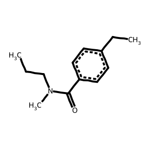 CCCN(C)C(=O)c1ccc(CC)cc1